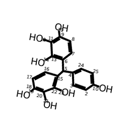 Oc1ccc(C(c2ccc(O)c(O)c2O)c2ccc(O)c(O)c2O)cc1